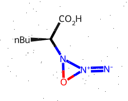 CCCC[C@@H](C(=O)O)N1O[N+]1=[N-]